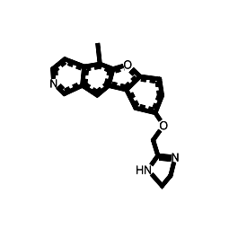 Cc1c2ccncc2cc2c1oc1ccc(OCC3=NCCN3)cc12